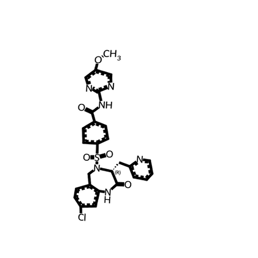 COc1cnc(NC(=O)c2ccc(S(=O)(=O)N3Cc4ccc(Cl)cc4NC(=O)[C@H]3Cc3ccccn3)cc2)nc1